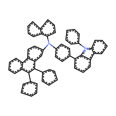 c1ccc(-c2c(-c3ccccc3)c3cc(N(c4ccc(-c5cccc6c7ccccc7n(-c7ccccc7)c56)cc4)c4cccc5ccccc45)ccc3c3ccccc23)cc1